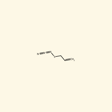 C=CCSN=[N+]=[N-]